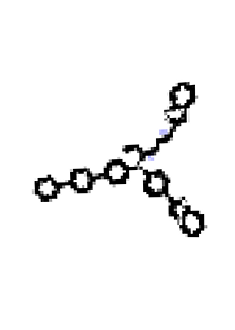 C=C/C(=C\C=C\c1cc2ccccc2s1)N(c1c#cc(-c2cn3ccccc3n2)cc1)c1ccc(-c2ccc(-c3ccccc3)cc2)cc1